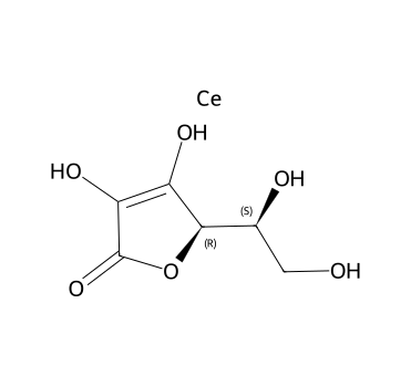 O=C1O[C@H]([C@@H](O)CO)C(O)=C1O.[Ce]